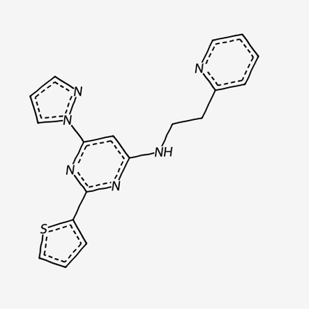 c1ccc(CCNc2cc(-n3cccn3)nc(-c3cccs3)n2)nc1